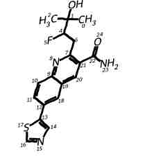 CC(C)(O)C(F)Cc1nc2ccc(-c3cncs3)cc2cc1C(N)=O